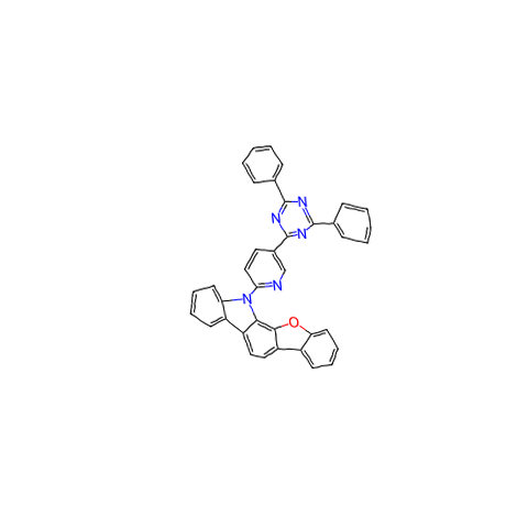 c1ccc(-c2nc(-c3ccccc3)nc(-c3ccc(-n4c5ccccc5c5ccc6c7ccccc7oc6c54)nc3)n2)cc1